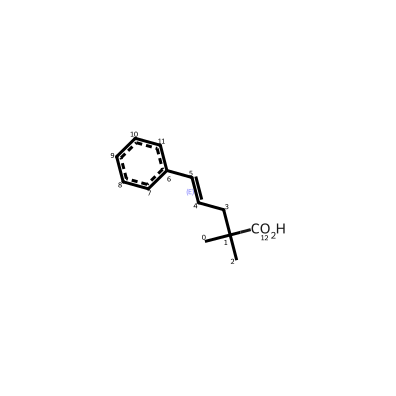 CC(C)(C/C=C/c1ccccc1)C(=O)O